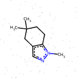 Cn1ncc2c1CCC(C)(C)C2